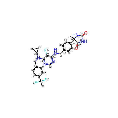 CC(F)(F)c1ccc(CN(c2ncnc(NCc3ccc(C4(C)NC(=O)NC4=O)cc3)c2F)C2CC2)cc1